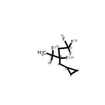 CC(F)(F)C(F)(CC1CC1)CC(F)(F)F